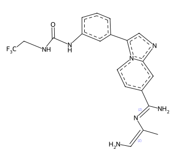 CC(=C/N)/N=C(\N)c1ccn2c(-c3cccc(NC(=O)NCC(F)(F)F)c3)cnc2c1